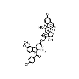 COc1ccc2c(c1)c(CC(=O)OCC(=O)[C@@]1(O)CC[C@H]3[C@@H]4CCC5=CC(=O)C=C[C@]5(C)[C@H]4[C@@H](O)C[C@@]31C)c(C)n2C(=O)c1ccc(Cl)cc1